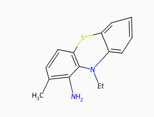 CCN1c2ccccc2Sc2ccc(C)c(N)c21